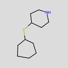 C1CCC(SC2CCNCC2)CC1